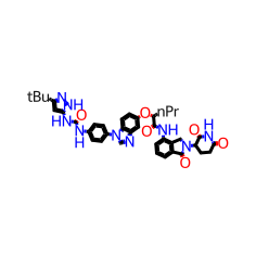 CCCC(Oc1ccc2c(c1)ncn2-c1ccc(NC(=O)Nc2cc(C(C)(C)C)n[nH]2)cc1)C(=O)Nc1cccc2c1CN(C1CCC(=O)NC1=O)C2=O